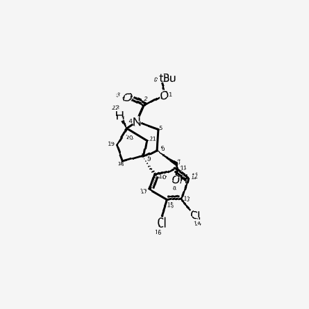 CC(C)(C)OC(=O)N1C[C@@H](CO)[C@@]2(c3ccc(Cl)c(Cl)c3)CC[C@H]1C2